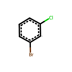 Clc1[c]c(Br)ccc1